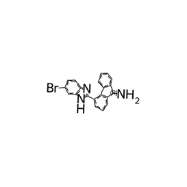 N[C@@H]1c2ccccc2-c2c(-c3nc4ccc(Br)cc4[nH]3)cccc21